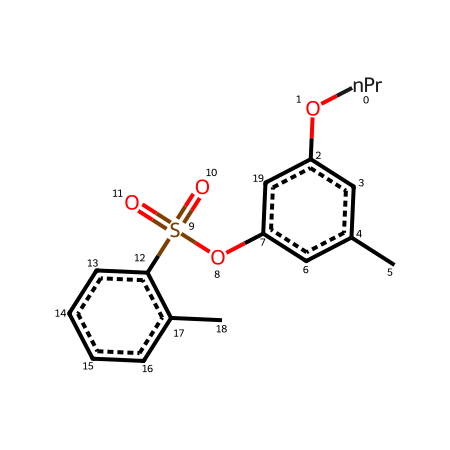 CCCOc1cc(C)cc(OS(=O)(=O)c2ccccc2C)c1